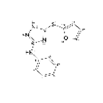 c1ccc(Nc2n[nH]c(Sc3ccco3)n2)cc1